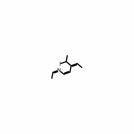 C\C=N/C=C\C(=C/C)C(C)I